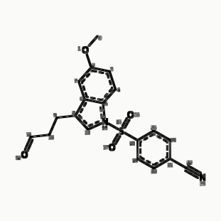 COc1ccc2c(c1)c(CCC=O)cn2S(=O)(=O)c1ccc(C#N)cc1